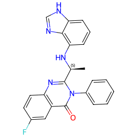 C[C@H](Nc1cccc2[nH]cnc12)c1nc2ccc(F)cc2c(=O)n1-c1ccccc1